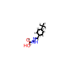 CC(C)(C)c1ccc(/C=N/NC(=O)O)cc1